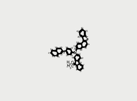 CC1(C)c2ccccc2-c2ccc(N(c3ccc(-c4ccc5ccccc5c4)cc3)c3ccc4c(ccc5sc6ccccc6c54)c3)cc21